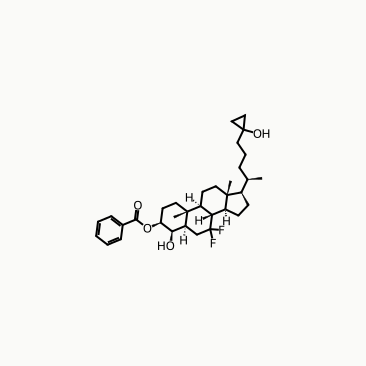 C[C@H](CCCC1(O)CC1)[C@H]1CC[C@H]2[C@H]3[C@H](CC[C@]12C)[C@@]1(C)CC[C@H](OC(=O)c2ccccc2)[C@H](O)[C@@H]1CC3(F)F